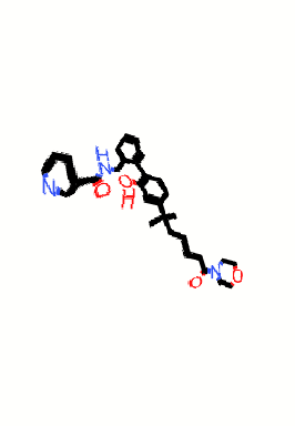 CC(C)(CCCCC(=O)N1CCOCC1)c1ccc(-c2ccccc2CNC(=O)c2cccnc2)c(O)c1